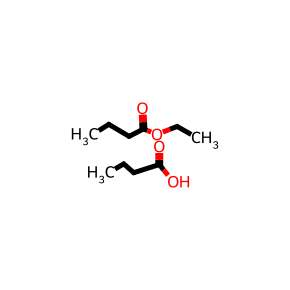 CCCC(=O)O.CCCC(=O)OCC